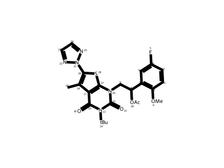 COc1ccc(F)cc1C(Cn1c(=O)n(C(C)(C)C)c(=O)c2c(C)c(-n3nccn3)sc21)OC(C)=O